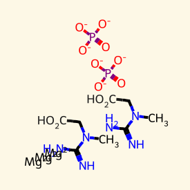 CN(CC(=O)O)C(=N)N.CN(CC(=O)O)C(=N)N.O=P([O-])([O-])[O-].O=P([O-])([O-])[O-].[Mg+2].[Mg+2].[Mg+2]